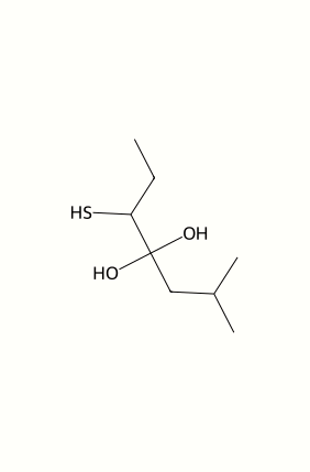 CCC(S)C(O)(O)CC(C)C